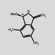 C=C1N[C@H](OC)c2c(C)cc(C)cc21